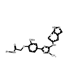 COc1cc(-c2nc(Nc3ccc4[nH]ncc4c3)n(C)n2)ccc1OCC(=O)NC(C)C